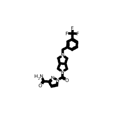 NC(=O)c1ccn(C(=O)N2CC3CN(Cc4cccc(C(F)(F)F)c4)CC3C2)n1